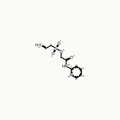 C=CCS(=O)(=O)OCC(=O)Nc1ccccn1